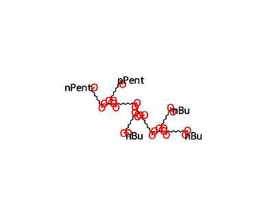 CCCCCC(=O)CCCCCCCC(=O)OCC(COC(=O)CCCCCCCC(=O)OCC(COC(=O)CCCCCCCC(=O)OCC(COC(=O)CCCCCCCC(=O)OCCCC)OC(=O)CCCCCCCC(=O)OCCCC)OC(=O)CCCCCCCC(=O)OCCCC)OC(=O)CCCCCCCC(=O)CCCCC